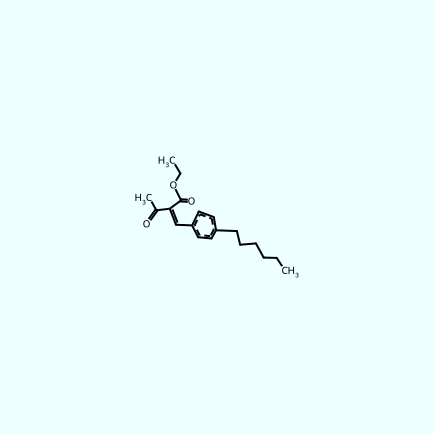 CCCCCCc1ccc(/C=C(/C(C)=O)C(=O)OCC)cc1